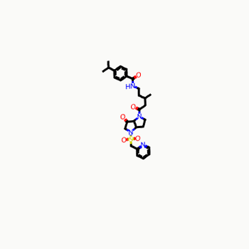 CC(CCNC(=O)c1ccc(C(C)C)cc1)CC(=O)N1CCC2C1C(=O)CN2S(=O)(=O)Cc1ccccn1